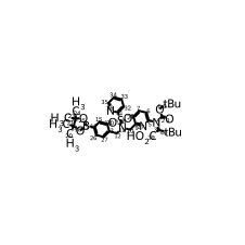 CC(C)(C)OC(=O)N(c1cccc(CN(Cc2ccc(B3OC(C)(C)C(C)(C)O3)cc2)S(=O)(=O)c2ccccn2)n1)C(C(=O)O)C(C)(C)C